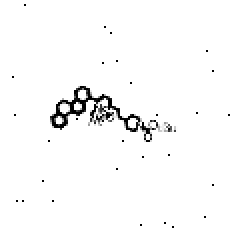 [CH2]C(=O)CN1C(C2=CCCc3c2ccc2c3CCc3ccccc3-2)=CC=C(CCC2CCN(C(=O)OC(C)(C)C)CC2)S1(=O)=O